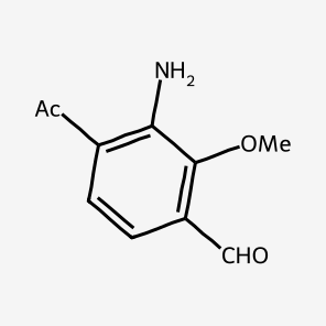 COc1c(C=O)ccc(C(C)=O)c1N